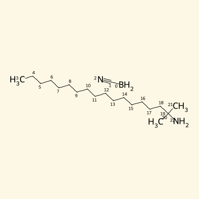 BC#N.CCCCCCCCCCCCCCCCC(C)(C)N